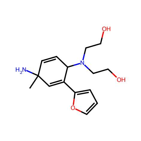 CC1(N)C=CC(N(CCO)CCO)C(c2ccco2)=C1